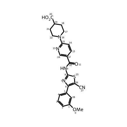 COc1cccc(-c2nc(NC(=O)c3ccc(N4CCC(C(=O)O)CC4)nc3)sc2C#N)c1